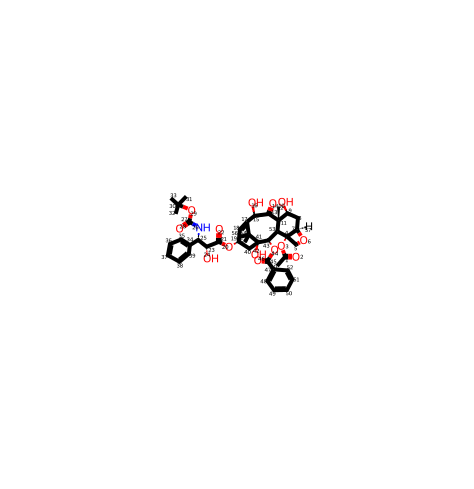 CC(=O)O[C@@]12CO[C@@H]1C[C@H](O)[C@@]1(C)C(=O)[C@H](O)C3=C[C@@H](OC(=O)[C@H](O)[C@@H](NC(=O)OC(C)(C)C)c4ccccc4)C[C@@](O)([C@@H](OC(=O)c4ccccc4)C12)C3(C)C